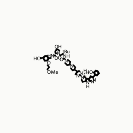 C#Cc1ccc(CNC(=O)[C@@H]2C[C@@H](O)CN2C(=O)[C@@H](NC(=O)N2CCC(N3CCC(c4cnc(N5CCc6[nH]c7nnc(-c8ccccc8O)cc7c6[C@H]5C)nc4)CC3)CC2)C(C)(C)C)c(OCCCOC)c1